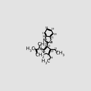 C=C(C)N(C)c1sc(CC)c(CC)c1-c1nc2ccccc2s1